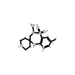 [2H]N1CC2(CCOCC2)Oc2ncc(C)cc2S1(=O)=O